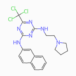 ClC(Cl)(Cl)c1nc(NCCN2CCCC2)nc(Nc2ccc3ccccc3c2)n1